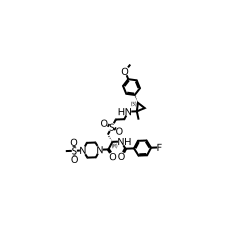 COc1ccc([C@@H]2CC2(C)NCCS(=O)(=O)C[C@H](NC(=O)c2ccc(F)cc2)C(=O)N2CCN(S(C)(=O)=O)CC2)cc1